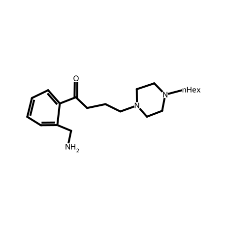 CCCCCCN1CCN(CCCC(=O)c2ccccc2CN)CC1